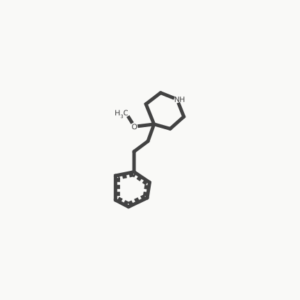 COC1(CCc2ccccc2)CCNCC1